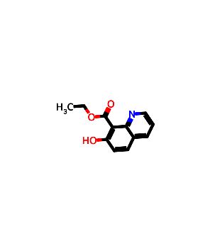 CCOC(=O)c1c(O)ccc2cccnc12